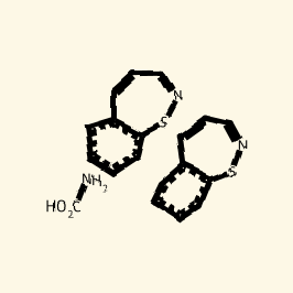 C1=Cc2ccccc2SN=C1.C1=Cc2ccccc2SN=C1.NC(=O)O